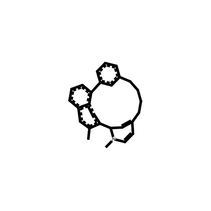 Cc1cc2cccc3c2cc1C1C=C(C=CN1C)CCCCc1cccc-3c1